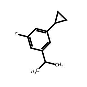 CC(C)c1cc(F)cc(C2CC2)c1